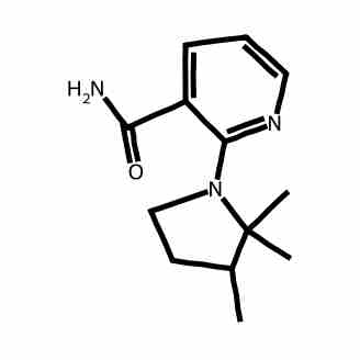 CC1CCN(c2ncccc2C(N)=O)C1(C)C